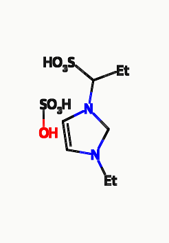 CCC(N1C=CN(CC)C1)S(=O)(=O)O.O=S(=O)(O)O